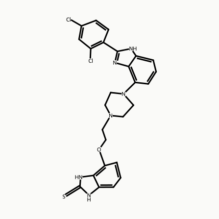 S=c1[nH]c2cccc(OCCN3CCN(c4cccc5[nH]c(-c6ccc(Cl)cc6Cl)nc45)CC3)c2[nH]1